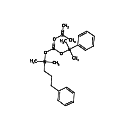 C[SiH](C)O[SiH](O[Si](C)(C)CCCc1ccccc1)O[Si](C)(C)c1ccccc1